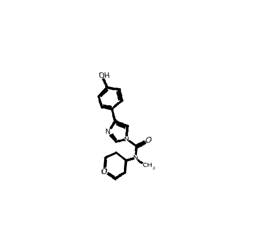 CN(C(=O)n1cnc(-c2ccc(O)cc2)c1)C1CCOCC1